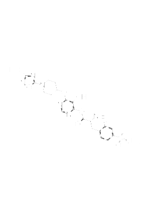 Cc1noc(N2CCC(Oc3ncnc(OC(=O)[C@@H](N)Cc4ccc(S(C)(=O)=O)cc4F)c3C)CC2)n1